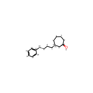 O=C1CCCC[C@H](CCCCc2ccccc2)C1